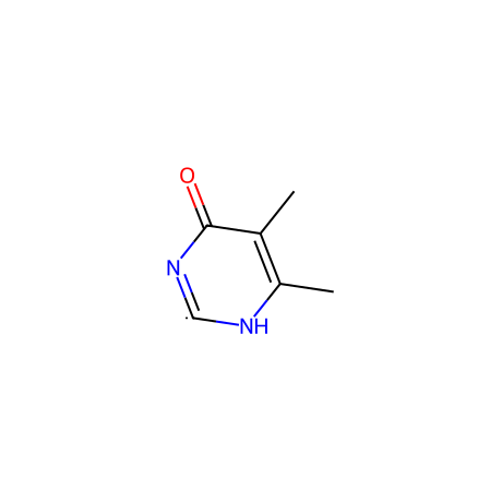 Cc1[nH][c]nc(=O)c1C